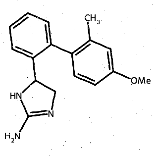 COc1ccc(-c2ccccc2C2CN=C(N)N2)c(C)c1